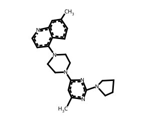 Cc1ccc2c(N3CCN(c4cc(C)nc(N5CCCC5)n4)CC3)ccnc2c1